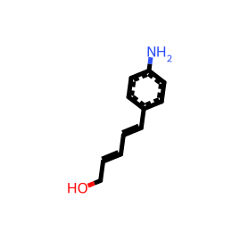 Nc1ccc(C=CC=CCO)cc1